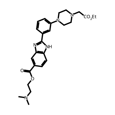 CCOC(=O)CN1CCN(c2cccc(-c3nc4cc(C(=O)OCCN(C)C)ccc4[nH]3)c2)CC1